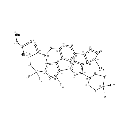 CC(C)(C)OC(=O)N[C@H]1CC(F)(F)c2cc(F)c(-c3nnc(N4CCC(F)(F)CC4)o3)cc2N(Cc2ccc(-c3noc(C(F)(F)F)n3)cc2)C1=O